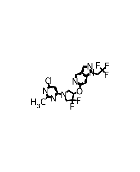 Cc1nc(Cl)cc(N2CC(Oc3cc4c(cn3)cnn4CC(F)(F)F)C(F)(F)C2)n1